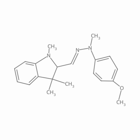 COc1ccc(N(C)/N=C/C2N(C)c3ccccc3C2(C)C)cc1